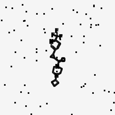 O=C(C1CC1c1ccc(C(F)(F)F)nc1)N1CCN(C2CCC2)CC1